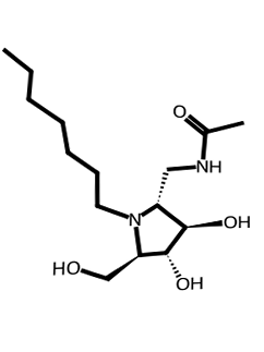 CCCCCCCN1[C@H](CO)[C@@H](O)[C@H](O)[C@H]1CNC(C)=O